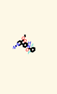 CCOC(=O)C1=C(c2ccc(NC(=O)c3c(F)cccc3F)cc2)CN(C#N)CC1